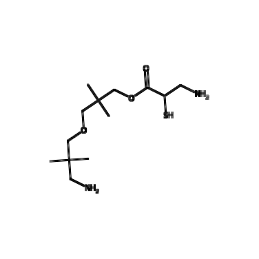 CC(C)(CN)COCC(C)(C)COC(=O)C(S)CN